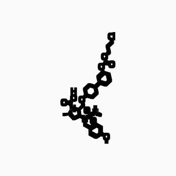 COc1ccc(CN([C@H]2C[C@@H](C)N(C(=O)O)[C@H]2COC2CCC(c3cccc(OC(=O)OCCCCl)c3)CC2)S(=O)(=O)N(C)C)cc1